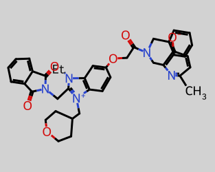 CCn1c(CN2C(=O)c3ccccc3C2=O)[n+](CC2CCOCC2)c2ccc(OCC(=O)N(Cc3ccccc3)Cc3nc(C)ccc3[O-])cc21